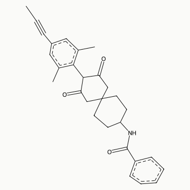 CC#Cc1cc(C)c(C2C(=O)CC3(CCC(NC(=O)c4ccccc4)CC3)CC2=O)c(C)c1